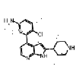 Nc1ccc(Cl)c(-c2ccnc3[nH]c(C4CCNCC4)cc23)n1